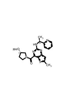 CO[C@H]1CCN(C(=O)c2nc(N[C@@H](C)c3ccccn3)nc3cc(C)sc23)C1